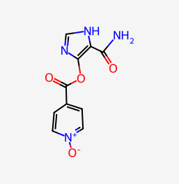 NC(=O)c1[nH]cnc1OC(=O)c1cc[n+]([O-])cc1